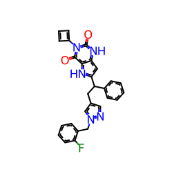 O=c1[nH]c2cc(C(Cc3cnn(Cc4ccccc4F)c3)c3ccccc3)[nH]c2c(=O)n1C1=CC=C1